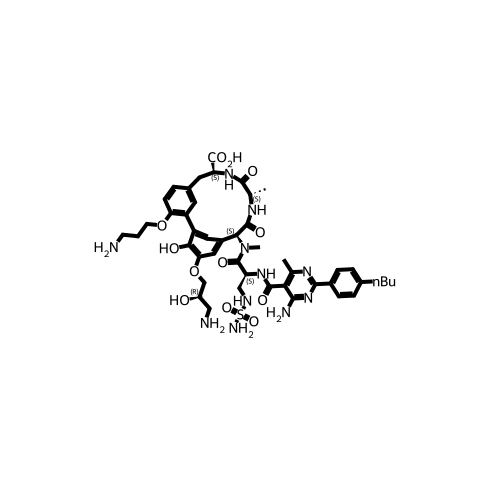 CCCCc1ccc(-c2nc(C)c(C(=O)N[C@@H](CNS(N)(=O)=O)C(=O)N(C)[C@@H]3C(=O)N[C@@H](C)C(=O)N[C@H](C(=O)O)Cc4ccc(OCCCN)c(c4)-c4cc3cc(OC[C@H](O)CN)c4O)c(N)n2)cc1